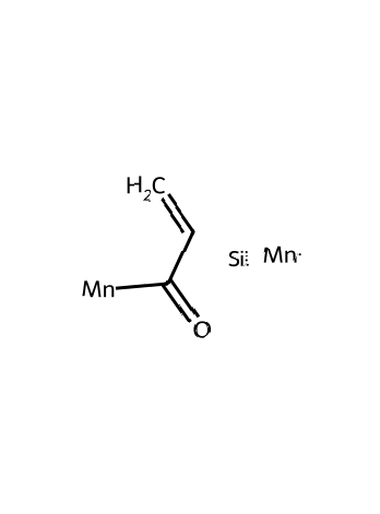 C=C[C](=O)[Mn].[Mn].[Si]